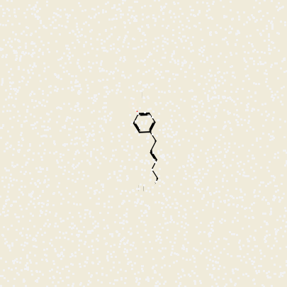 CCCC=CCc1ccc(OC)cc1